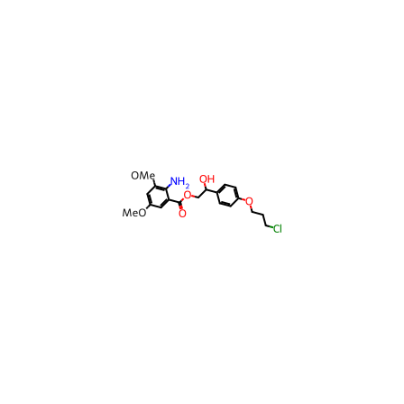 COc1cc(OC)c(N)c(C(=O)OCC(O)c2ccc(OCCCCl)cc2)c1